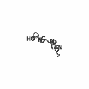 CN(C)Cc1c(OCC2CC2)ccc2c(CCC3CCN(C[C@H]4CCCC[C@@H]4O)CC3)noc12